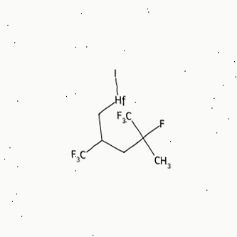 CC(F)(CC([CH2][Hf][I])C(F)(F)F)C(F)(F)F